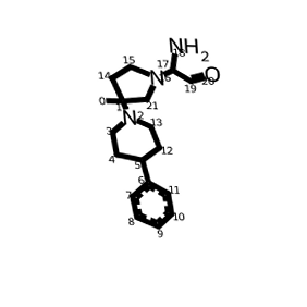 CC1(N2CCC(c3ccccc3)CC2)CCN(C(N)C=O)C1